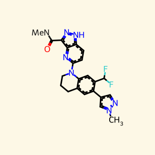 CNC(=O)c1n[nH]c2ccc(N3CCCc4cc(-c5cnn(C)c5)c(C(F)F)cc43)nc12